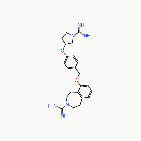 N=C(N)N1CCc2cccc(OCc3ccc(OC4CCN(C(=N)N)C4)cc3)c2CC1